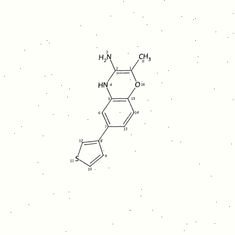 CC1=C(N)Nc2cc(-c3ccsc3)ccc2O1